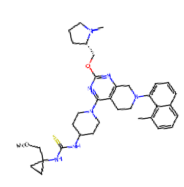 COCC1(NC(=S)NC2CCN(c3nc(OC[C@@H]4CCCN4C)nc4c3CCN(c3cccc5cccc(C)c35)C4)CC2)CC1